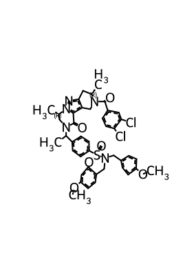 COc1ccc(CN(Cc2ccc(OC)cc2)S(=O)(=O)c2ccc(C(C)N3C[C@@H](C)n4nc5c(c4C3=O)CN(C(=O)c3ccc(Cl)c(Cl)c3)[C@H](C)C5)cc2)cc1